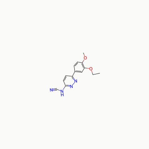 CCOc1cc(-c2ccc(NC#N)nn2)ccc1OC